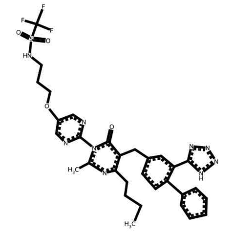 CCCCc1nc(C)n(-c2ncc(OCCCNS(=O)(=O)C(F)(F)F)cn2)c(=O)c1Cc1ccc(-c2ccccc2)c(-c2nnn[nH]2)c1